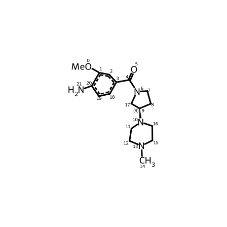 COc1cc(C(=O)N2CC[C@@H](N3CCN(C)CC3)C2)ccc1N